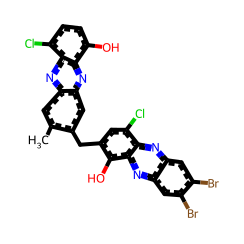 Cc1cc2nc3c(Cl)ccc(O)c3nc2cc1Cc1cc(Cl)c2nc3cc(Br)c(Br)cc3nc2c1O